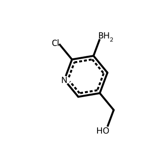 Bc1cc(CO)cnc1Cl